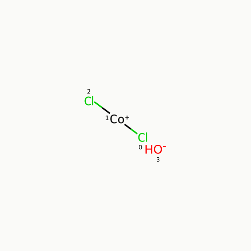 [Cl][Co+][Cl].[OH-]